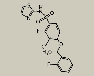 C[C@H](Oc1ccc(S(=O)(=O)Nc2nccs2)c(F)c1Cl)c1ccccc1F